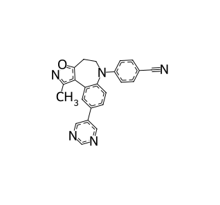 Cc1noc2c1-c1cc(-c3cncnc3)ccc1N(c1ccc(C#N)cc1)CC2